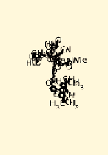 CNC(=O)CCC(=O)OC(COCCCNC(=O)c1ccc(C(=O)O)c(C2=C3C=CC(N(C)C)C=C3Oc3cc(N(C)C)ccc32)c1)COP(=O)(OCCC#N)OC1[C@@H](OC)[C@@H](COP2OP(=O)(O)OP(=O)(O)O2)O[C@H]1n1ccc(=O)[nH]c1=O